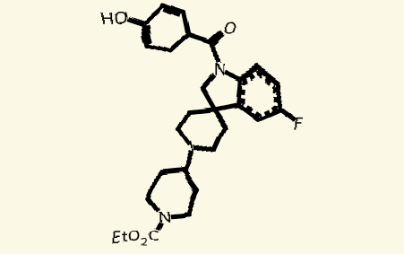 CCOC(=O)N1CCC(I2CCC3(CC2)CN(C(=O)C2C=CC(O)=CC2)c2ccc(F)cc23)CC1